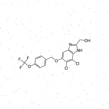 OCc1nc2cc(OCc3ccc(OC(F)(F)F)cc3)c(Cl)c(Cl)c2[nH]1